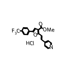 COC(=O)c1cc(-c2ccc(C(F)(F)F)cc2)oc1/C=C/c1ccncc1.Cl